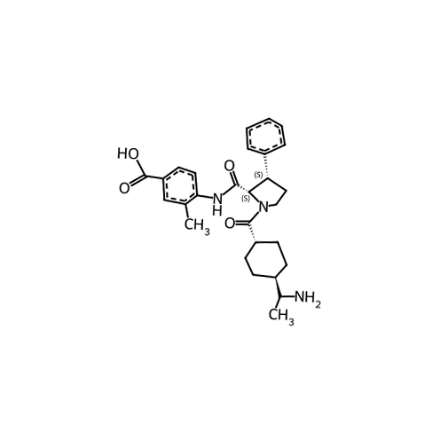 Cc1cc(C(=O)O)ccc1NC(=O)[C@@H]1[C@H](c2ccccc2)CCN1C(=O)[C@H]1CC[C@H](C(C)N)CC1